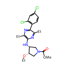 CCO[C@H]1CN(C(=O)OC)C[C@H]1Nc1nc(CC)c(-c2ccc(Cl)cc2Cl)nc1CC